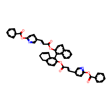 O=C(/C=C/c1ccc(OC(=O)c2ccccc2)nc1)Oc1ccc2c(c1-c1c(OC(=O)/C=C/c3ccc(OC(=O)c4ccccc4)nc3)ccc3ccccc13)C=CCC2